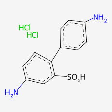 Cl.Cl.Nc1ccc(-c2ccc(N)cc2S(=O)(=O)O)cc1